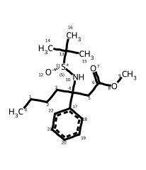 CCCCC(CC(=O)OC)(N[S@+]([O-])C(C)(C)C)c1ccccc1